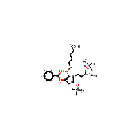 CCCCC[C@@H](C=C[C@@H]1C(SCCCCCC(=O)O)=C(OC(=O)c2ccccc2)C[C@H]1O[Si](C)(C)C(C)(C)C)O[Si](C)(C)C(C)(C)C